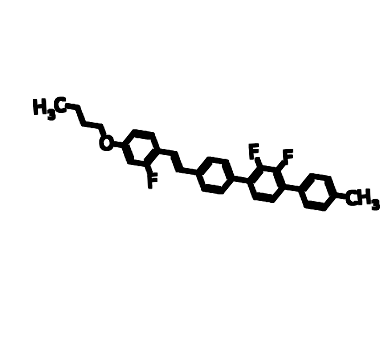 CCCCOc1ccc(/C=C/c2ccc(-c3ccc(-c4ccc(C)cc4)c(F)c3F)cc2)c(F)c1